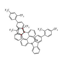 N#Cc1cccc(-n2c3ccccc3c3cc(-c4ccc(C(F)(F)F)cc4C(F)(F)F)ccc32)c1-c1c(-c2cc(C(F)(F)F)cc(C(F)(F)F)c2)cccc1-n1c2ccccc2c2cc(-c3ccc(C(F)(F)F)cc3C(F)(F)F)ccc21